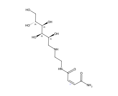 NC(=O)/C=C\C(=O)NCCNC[C@H](O)[C@@H](O)[C@H](O)[C@H](O)CO